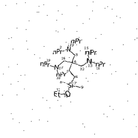 CCCN(CCC)CC(CC[Si](C)(C)OCC)(CN(CCC)CCC)CN(CCC)CCC